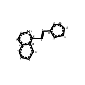 C(=Cc1nccc2ccccc12)c1ccccc1